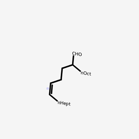 CCCCCCC/C=C\CCC(C=O)CCCCCCCC